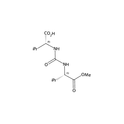 COC(=O)[C@@H](NC(=O)N[C@@H](C(=O)O)C(C)C)C(C)C